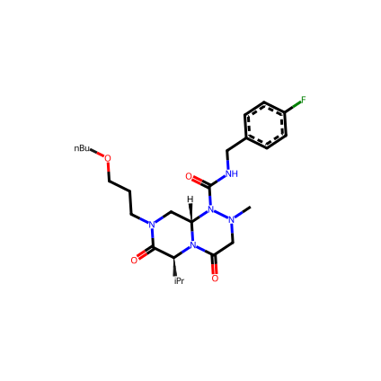 CCCCOCCCN1C[C@H]2N(C(=O)CN(C)N2C(=O)NCc2ccc(F)cc2)[C@@H](C(C)C)C1=O